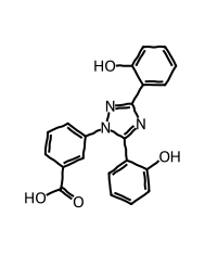 O=C(O)c1cccc(-n2nc(-c3ccccc3O)nc2-c2ccccc2O)c1